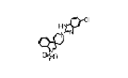 CS(=O)(=O)N1CC2(CCN(c3nc4cc(Cl)ccc4[nH]3)CC2)c2ccccc21